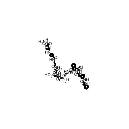 Nc1nc2ncc(CNc3ccc(C(=O)NCCCC(=O)NC[C@H](N)C(=O)NC(CC(=O)O)C(=O)N[C@@H](CSSCCNC(=O)Oc4cc5c(c6ccccc46)[C@@H](CCl)CN5C(=O)c4cc5cc(NC(=O)c6cc7ccccc7[nH]6)ccc5[nH]4)C(=O)O)cc3)nc2c(=O)[nH]1